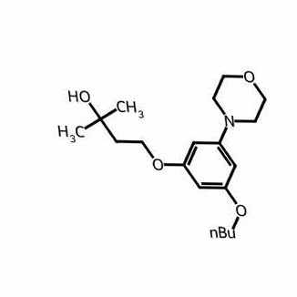 CCCCOc1cc(OCCC(C)(C)O)cc(N2CCOCC2)c1